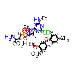 CCNc1nc(Cl)nc(NCC)n1.CCOc1cc(Oc2ccc(C(F)(F)F)cc2Cl)ccc1[N+](=O)[O-].CP(=O)(O)CCC(N)C(=O)O